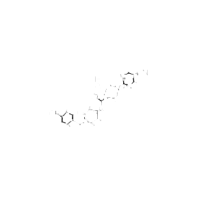 C[C@@H]1CN(c2ncc(C#N)cn2)CCN1C(=O)OC1CCN(Cc2ccc(Cl)cc2)CC1